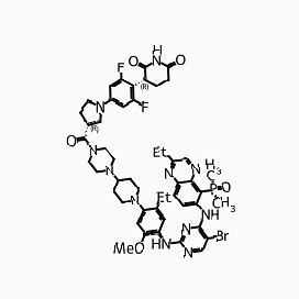 CCc1cnc2c(P(C)(C)=O)c(Nc3nc(Nc4cc(CC)c(N5CCC(N6CCN(C(=O)[C@@H]7CCN(c8cc(F)c([C@H]9CCC(=O)NC9=O)c(F)c8)C7)CC6)CC5)cc4OC)ncc3Br)ccc2n1